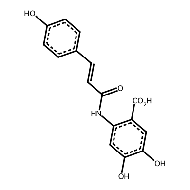 O=C(/C=C/c1ccc(O)cc1)Nc1cc(O)c(O)cc1C(=O)O